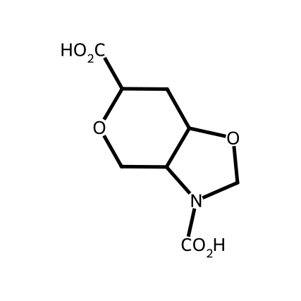 O=C(O)C1CC2OCN(C(=O)O)C2CO1